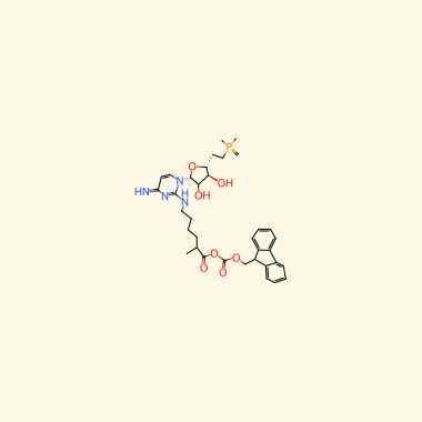 C=P(C)(C)CC[C@H]1O[C@@H](n2ccc(=N)nc2NCCCCC(C)C(=O)OC(=O)OCC2c3ccccc3-c3ccccc32)C(O)[C@@H]1O